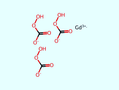 O=C([O-])OO.O=C([O-])OO.O=C([O-])OO.[Gd+3]